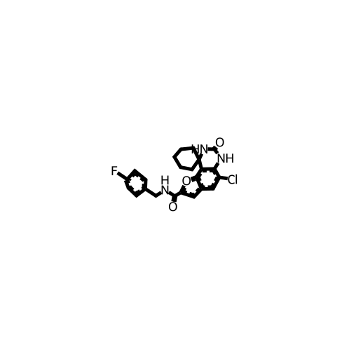 O=C1Nc2c(Cl)cc3cc(C(=O)NCc4ccc(F)cc4)oc3c2C2(CCCCC2)N1